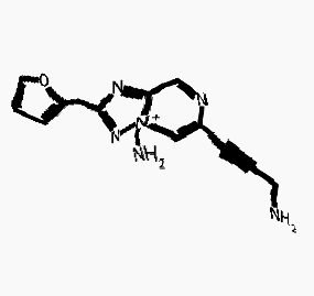 NCC#CC1=C[N+]2(N)N=C(c3ccco3)N=C2C=N1